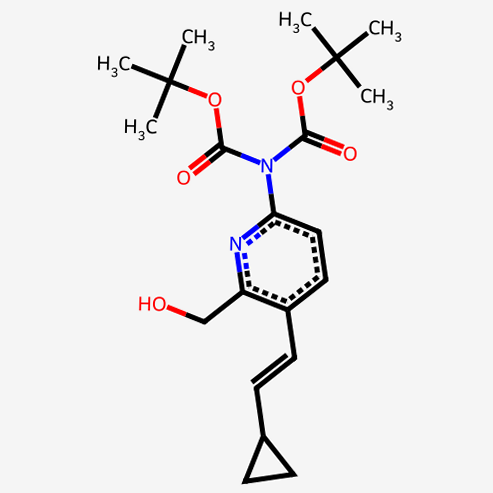 CC(C)(C)OC(=O)N(C(=O)OC(C)(C)C)c1ccc(/C=C/C2CC2)c(CO)n1